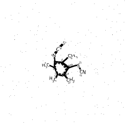 Cc1c(C)c(N=C=S)c(C)c(SC#N)c1C